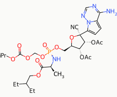 CCC(CC)COC(=O)[C@H](C)N[P@](=O)(OCOC(=O)OC(C)C)OC[C@H]1O[C@@](C#N)(c2ccc3c(N)ncnn23)[C@H](OC(C)=O)[C@@H]1OC(C)=O